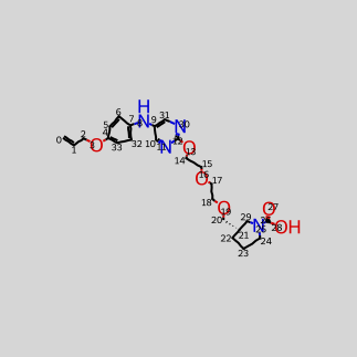 C=CCOc1ccc(Nc2cnc(OCCOCCOC[C@H]3CCCN(C(=O)O)C3)nc2)cc1